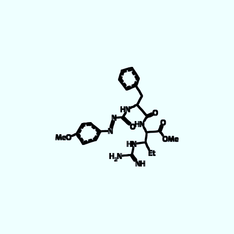 CCC(NC(=N)N)C(NC(=O)C(Cc1ccccc1)NC(=O)/N=N/c1ccc(OC)cc1)C(=O)OC